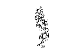 O=S(=O)(c1cccs1)N1CCN2C[C@H](Oc3cnc(C4CC4)cn3)C[C@H]2C1